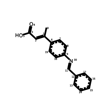 CC(=CC(=O)O)c1ccc(N=Cc2ccccc2)cc1